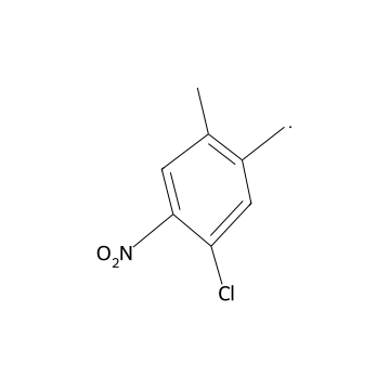 [CH2]c1cc(Cl)c([N+](=O)[O-])cc1C